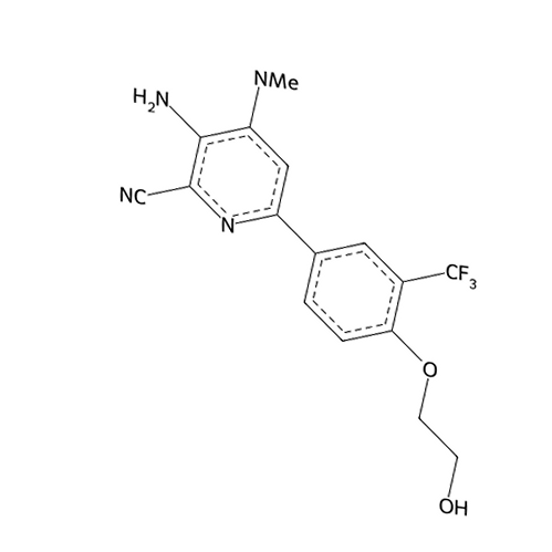 CNc1cc(-c2ccc(OCCO)c(C(F)(F)F)c2)nc(C#N)c1N